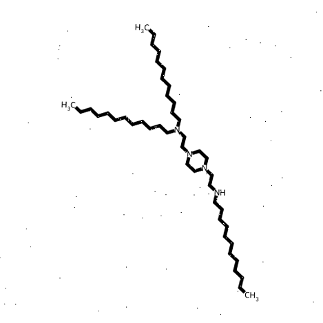 CCCCCCCCCCCCNCCN1CCN(CCN(CCCCCCCCCCCC)CCCCCCCCCCCC)CC1